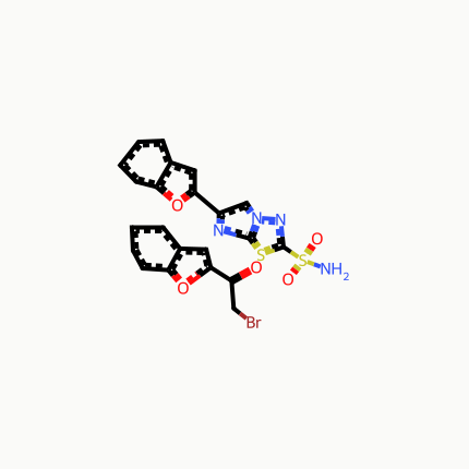 NS(=O)(=O)c1nn2cc(-c3cc4ccccc4o3)nc2s1.O=C(CBr)c1cc2ccccc2o1